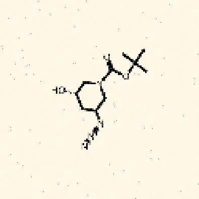 CC(C)(C)OC(=O)N1CC(N=[N+]=[N-])C[C@H](O)C1